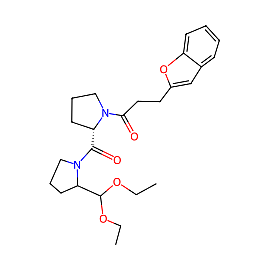 CCOC(OCC)C1CCCN1C(=O)[C@@H]1CCCN1C(=O)CCc1cc2ccccc2o1